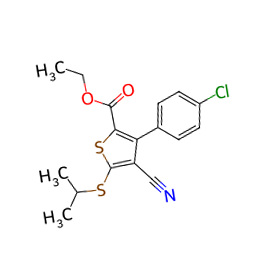 CCOC(=O)c1sc(SC(C)C)c(C#N)c1-c1ccc(Cl)cc1